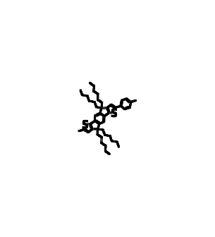 CCCCCCC1(CCCCCC)c2cc3c(cc2-c2sc(C)cc21)C(CCCCCC)(CCCCCC)c1cc(-c2ccc(C)cc2)sc1-3